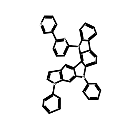 c1ccc(-n2ccc3cc4c5c(ccc6c7ccccc7n(-c7cccc(-c8cccnc8)n7)c65)n(-c5ccccc5)c4cc32)cc1